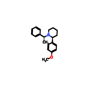 COc1ccc([C@@H]2CCCCN2[C@H](C)c2ccccc2)cc1